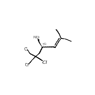 CC(C)=C[C@H](O)C(Cl)(Cl)Cl